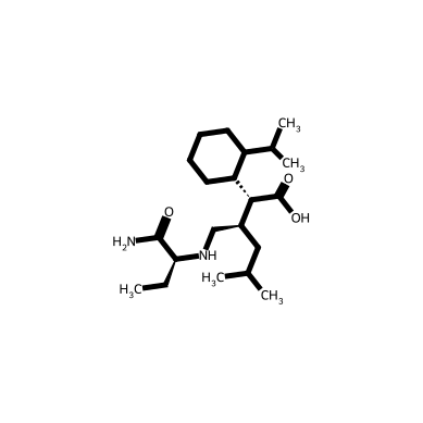 CC[C@H](NC[C@H](CC(C)C)[C@@H](C(=O)O)C1CCCCC1C(C)C)C(N)=O